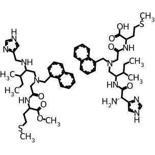 CCC(C)C(CN(CC(=O)NC(CCSC)C(=O)O)Cc1cccc2ccccc12)NC(=O)[C@@H](N)c1c[nH]cn1.CCC(C)C(CN(CC(=O)NC(CCSC)C(=O)OC)Cc1cccc2ccccc12)NCc1c[nH]cn1